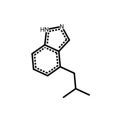 CC(C)Cc1cccc2[nH]ncc12